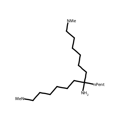 CCCCCC(N)(CCCCCCNC)CCCCCCNC